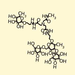 CNC(=O)CN(CC(=O)NNCCO[C@H]1O[C@H](CO[C@H]2O[C@H](CO)[C@@H](O)[C@H](O)[C@@H]2O)[C@@H](O)[C@H](O[C@H]2O[C@H](CO)[C@@H](O)[C@H](O)[C@@H]2O)[C@@H]1C)CC(=O)NNCCO[C@@H]1O[C@@H](C)[C@@H](O)[C@@H](O)[C@@H]1O